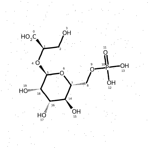 O=C(O)[C@@H](CO)O[C@H]1O[C@H](COP(=O)(O)O)[C@@H](O)[C@H](O)[C@@H]1O